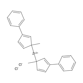 C[C]1([Zr+2][C]2(C)C=CC(c3ccccc3)=C2)C=CC(c2ccccc2)=C1.[Cl-].[Cl-]